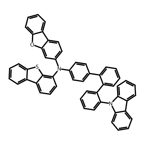 c1ccc(-c2ccccc2-n2c3ccccc3c3ccccc32)c(-c2ccc(N(c3ccc4c(c3)oc3ccccc34)c3cccc4c3sc3ccccc34)cc2)c1